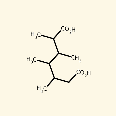 CC(CC(=O)O)C(C)C(C)C(C)C(=O)O